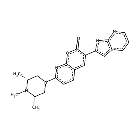 C[C@@H]1CN(c2ccc3cc(-c4cn5cccnc5n4)c(=O)oc3n2)C[C@H](C)N1C